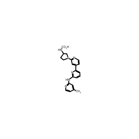 Cc1ccnc(Nc2cccc(-c3ccnc(N4CCC(NC(=O)O)C4)c3)n2)c1